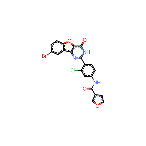 O=C(Nc1ccc(-c2nc3c(oc4ccc(Br)cc43)c(=O)[nH]2)c(Cl)c1)c1ccoc1